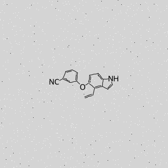 C=Cc1c(Oc2cccc(C#N)c2)ccc2[nH]ccc12